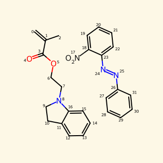 C=C(C)C(=O)OCCN1CCc2ccccc21.O=[N+]([O-])c1ccccc1N=Nc1ccccc1